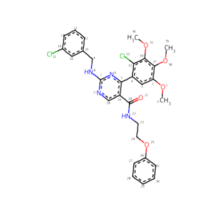 COc1cc(-c2nc(NCc3cccc(Cl)c3)ncc2C(=O)NCCOc2ccccc2)c(Cl)c(OC)c1OC